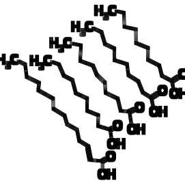 CCCCCCCCCC(=O)O.CCCCCCCCCC(=O)O.CCCCCCCCCC(=O)O.CCCCCCCCCC(=O)O.CCCCCCCCCCC/C=C/C(=O)O